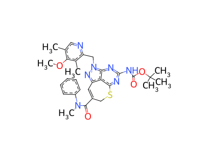 COc1c(C)cnc(Cn2nc3c4c(nc(NC(=O)OC(C)(C)C)nc42)SCC(C(=O)N(C)c2ccccc2)=C3)c1C